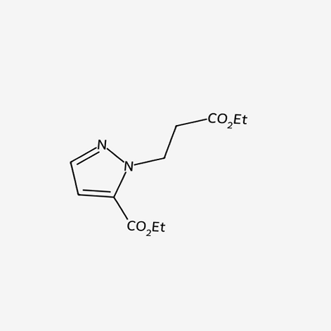 CCOC(=O)CCn1nccc1C(=O)OCC